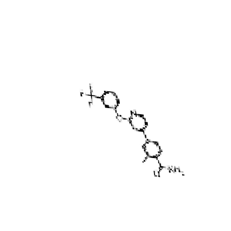 Cc1cc(-c2ccnc(Oc3cccc(C(F)(F)F)c3)c2)ccc1C(N)=O